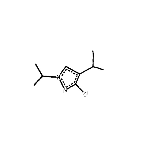 CC(C)c1cn(C(C)C)nc1Cl